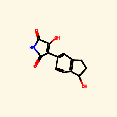 O=C1NC(=O)C(c2ccc3c(c2)CCC3O)=C1O